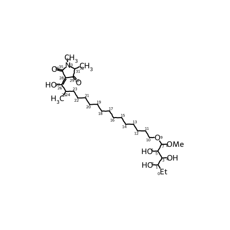 CCC(O)C(O)C(O)C(OC)OCCCCCCCCCCCCCCC(C)/C(O)=C1\C(=O)C(C)N(C)C1=O